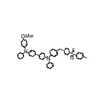 COc1ccc(N(c2ccccc2)c2ccc(-c3ccc(N(c4ccccc4)c4ccc(Cc5ccc(S(=O)(=S)c6ccc(C)cc6)cc5)cc4)cc3)cc2)cc1